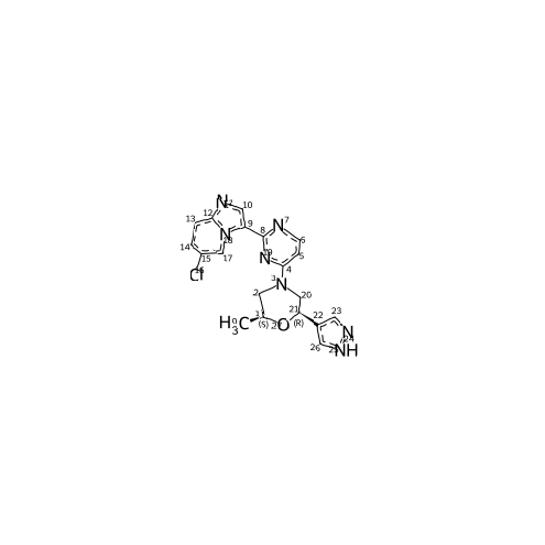 C[C@H]1CN(c2ccnc(-c3cnc4ccc(Cl)cn34)n2)C[C@@H](c2cn[nH]c2)O1